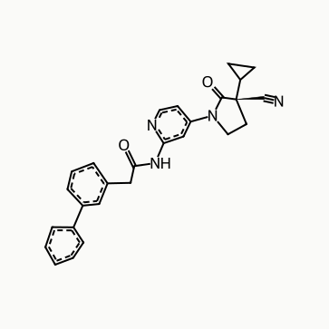 N#C[C@@]1(C2CC2)CCN(c2ccnc(NC(=O)Cc3cccc(-c4ccccc4)c3)c2)C1=O